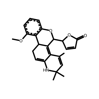 COc1cccc2c1C1CC=C3NC(C)(C)C=C(C)C3=C1C(C1C=CC(=O)O1)O2